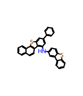 c1ccc(-c2cc(Nc3ccc4sc5ccccc5c4c3)c3c(c2)sc2c4ccccc4ccc23)cc1